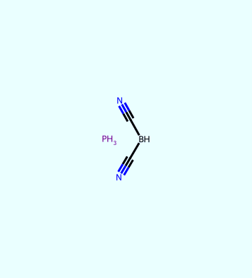 N#CBC#N.P